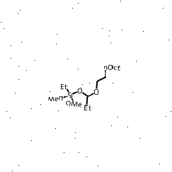 CCCCCCCCCCOC(CC)O[Si](CC)(OC)OC